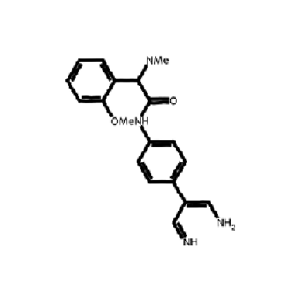 CNC(C(=O)Nc1ccc(/C(C=N)=C/N)cc1)c1ccccc1OC